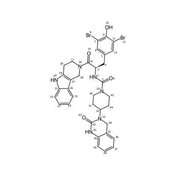 O=C(N[C@H](Cc1cc(Br)c(O)c(Br)c1)C(=O)N1CCc2[nH]c3ccccc3c2C1)N1CCC(N2Cc3ccccc3NC2=O)CC1